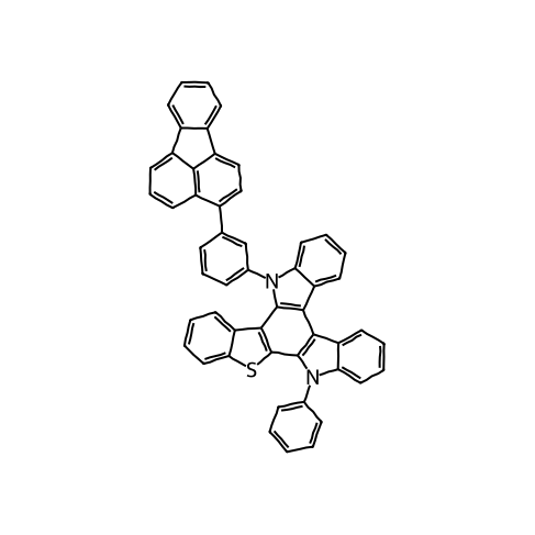 c1ccc(-n2c3ccccc3c3c4c5ccccc5n(-c5cccc(-c6ccc7c8c(cccc68)-c6ccccc6-7)c5)c4c4c5ccccc5sc4c32)cc1